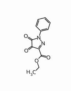 CCOC(=O)C1=NN(c2ccccc2)C(=O)C1=O